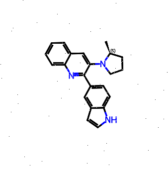 C[C@H]1CCCN1c1cc2ccccc2nc1-c1ccc2[nH]ccc2c1